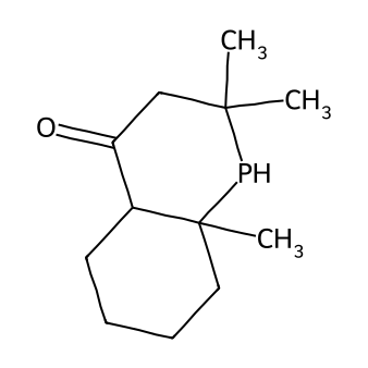 CC1(C)CC(=O)C2CCCCC2(C)P1